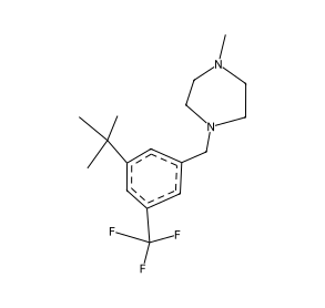 CN1CCN(Cc2cc(C(C)(C)C)cc(C(F)(F)F)c2)CC1